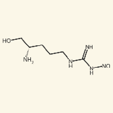 N=C(NCCC[C@H](N)CO)NN=O